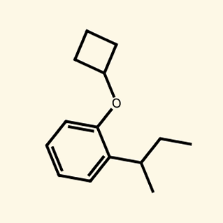 CCC(C)c1ccccc1OC1CCC1